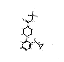 CC(C)(C)OC(=O)N1CCN(c2ncccc2OC2CC2)CC1